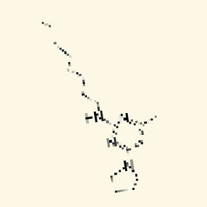 CCCCCCCCNc1nc(C)cc(N2CCCC2)n1